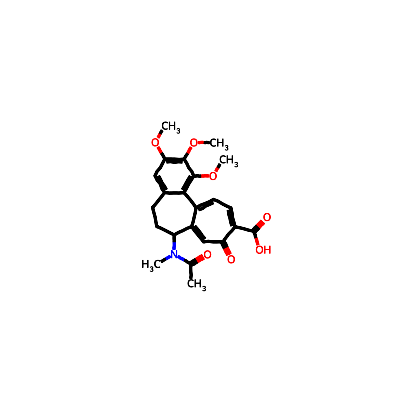 COc1cc2c(c(OC)c1OC)-c1ccc(C(=O)O)c(=O)cc1C(N(C)C(C)=O)CC2